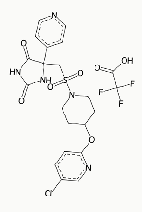 O=C(O)C(F)(F)F.O=C1NC(=O)C(CS(=O)(=O)N2CCC(Oc3ccc(Cl)cn3)CC2)(c2ccncc2)N1